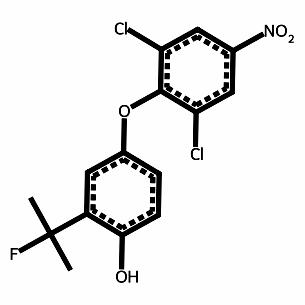 CC(C)(F)c1cc(Oc2c(Cl)cc([N+](=O)[O-])cc2Cl)ccc1O